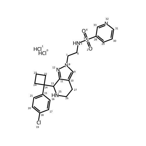 Cl.Cl.O=S(=O)(NCCn1cc2c(n1)C(C1(c3ccc(Cl)cc3)CCC1)NCC2)c1cccnc1